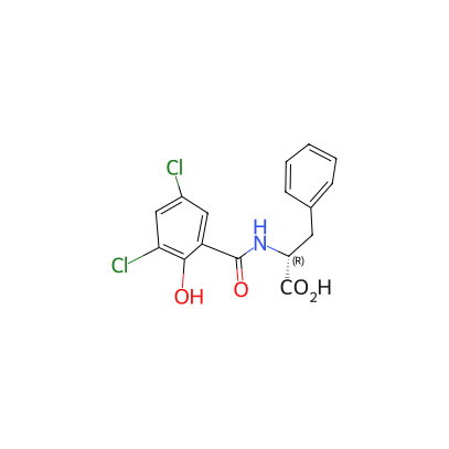 O=C(N[C@H](Cc1ccccc1)C(=O)O)c1cc(Cl)cc(Cl)c1O